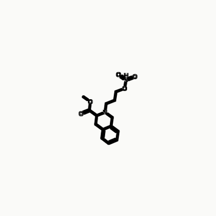 COC(=O)C1Cc2ccccc2CN1CCCO[SH](=O)=O